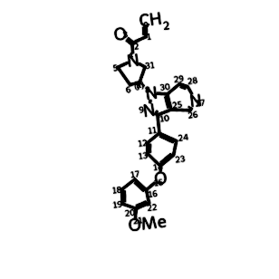 C=CC(=O)N1CC[C@@H](n2nc(-c3ccc(Oc4cccc(OC)c4)cc3)c3cnccc32)C1